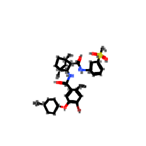 COc1cc(Br)c(O[C@H]2CC[C@@H](C)CC2)cc1C(=O)N[C@@H]1[C@H]2CC[C@H](C2)[C@@H]1C(=O)Nc1cccc(S(=O)(=O)C(F)(F)F)c1